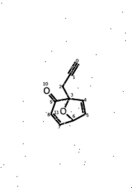 C#CCC12C=CC(C=CC1=O)O2